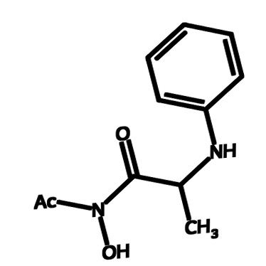 CC(=O)N(O)C(=O)C(C)Nc1ccccc1